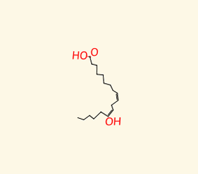 CCCCC/C(O)=C\C/C=C\CCCCCCCC(=O)O